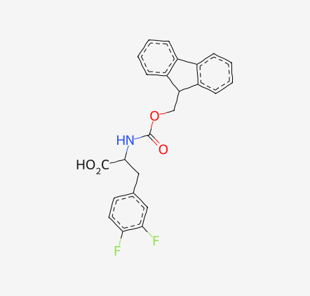 O=C(NC(Cc1ccc(F)c(F)c1)C(=O)O)OCC1c2ccccc2-c2ccccc21